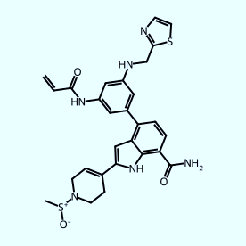 C=CC(=O)Nc1cc(NCc2nccs2)cc(-c2ccc(C(N)=O)c3[nH]c(C4=CCN([S+](C)[O-])CC4)cc23)c1